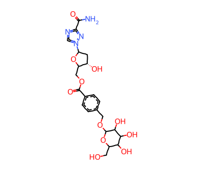 NC(=O)c1ncn(C2C[C@H](O)C(COC(=O)c3ccc(COC4OC(CO)C(O)C(O)C4O)cc3)O2)n1